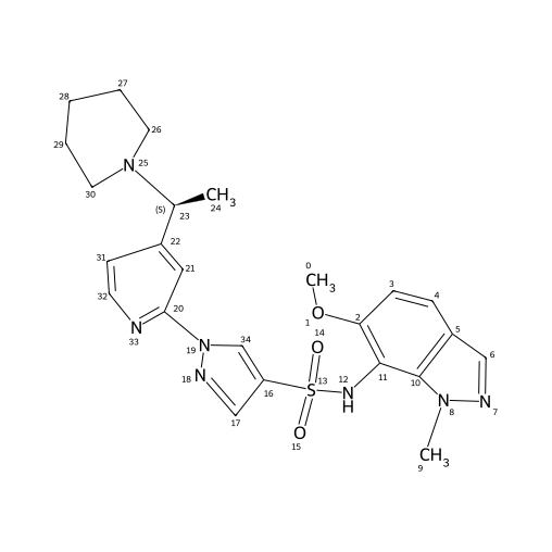 COc1ccc2cnn(C)c2c1NS(=O)(=O)c1cnn(-c2cc([C@H](C)N3CCCCC3)ccn2)c1